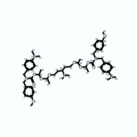 COc1ccc(CN(Cc2ccc(N(C)C)cc2)C(=O)OC(C)OC(C)OCCC(CCOC(C)OC(C)OC(=O)N(Cc2ccc(OC)cc2)Cc2ccc(N(C)C)cc2)N(C)C)cc1